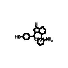 Nc1ccccc1-c1ccnc2[nH]cc(C(C(=O)O)c3ccc(O)cc3)c12